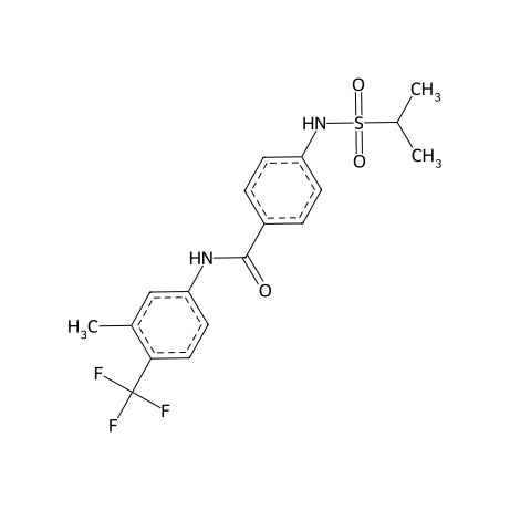 Cc1cc(NC(=O)c2ccc(NS(=O)(=O)C(C)C)cc2)ccc1C(F)(F)F